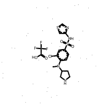 CN(c1ccc(S(=O)(=O)Nc2cscn2)cc1Cl)C1CCNC1.O=C(O)C(F)(F)F